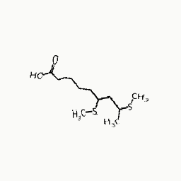 CSC(C)CC(CCCCC(=O)O)SC